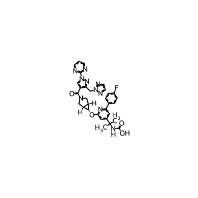 CC(C)(NC(=O)O)c1cc(O[C@@H]2[C@@H]3CN(C(=O)c4cn(-c5ncccn5)nc4Cn4nccn4)C[C@@H]32)nc(-c2ccc(F)cc2)c1